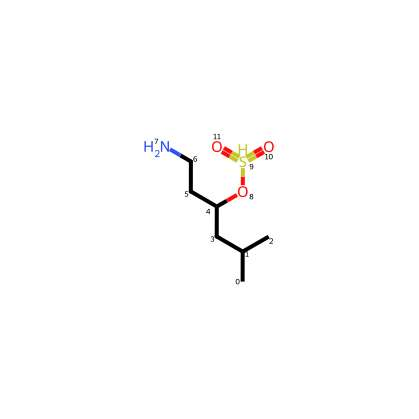 CC(C)CC(CCN)O[SH](=O)=O